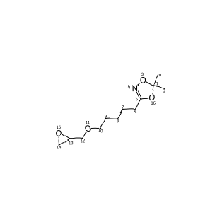 CC1(C)ON=C(CCCCCOCC2CO2)O1